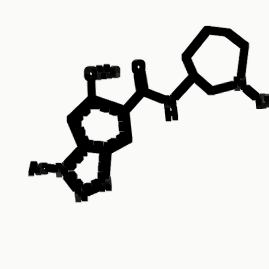 CCN1CCCCC(NC(=O)c2cc3nnn(C(C)=O)c3cc2OC)C1